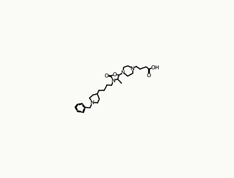 CC1C(N2CCN(CCCC(=O)O)CC2)OC(=O)N1CCCCC1CCN(Cc2ccccc2)CC1